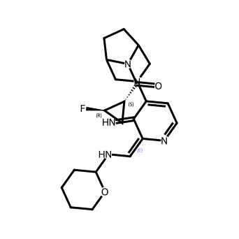 N=C1C(N2CC3CCC(C2)N3C(=O)[C@@H]2C[C@H]2F)=CC=N/C1=C/NC1CCCCO1